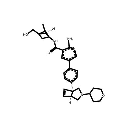 C[C@@H]1C2(CO)CC1(NC(=O)c1cc(-c3ccc([C@@]45C=C[C@@H]4CN(C4CCOCC4)C5)cc3)cnc1N)C2